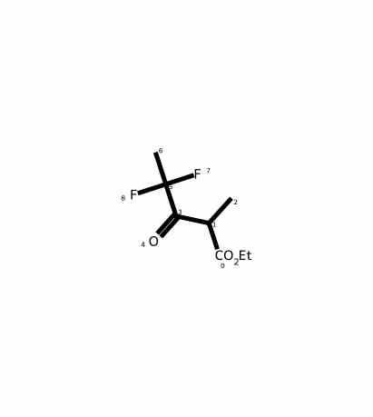 CCOC(=O)C(C)C(=O)C(C)(F)F